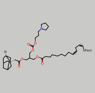 CCCCC/C=C\C/C=C\CCCCCCCC(=O)OCC(COC(=O)C[C@]12CC3CC(C[C@@H](C3)C1)C2)COC(=O)OCCCN1CCCC1